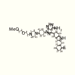 COCCOCCN1CCN(C2CCC(n3nc(-c4ccc5[nH]c(Cc6ccccc6F)cc5c4)c4c(N)ncnc43)CC2)CC1